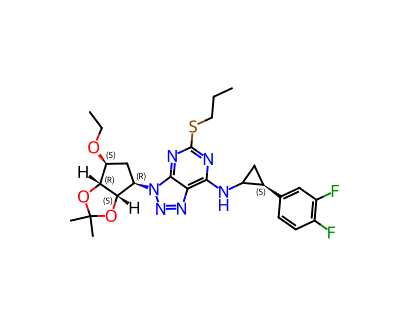 CCCSc1nc(NC2C[C@H]2c2ccc(F)c(F)c2)c2nnn([C@@H]3C[C@H](OCC)[C@H]4OC(C)(C)O[C@H]43)c2n1